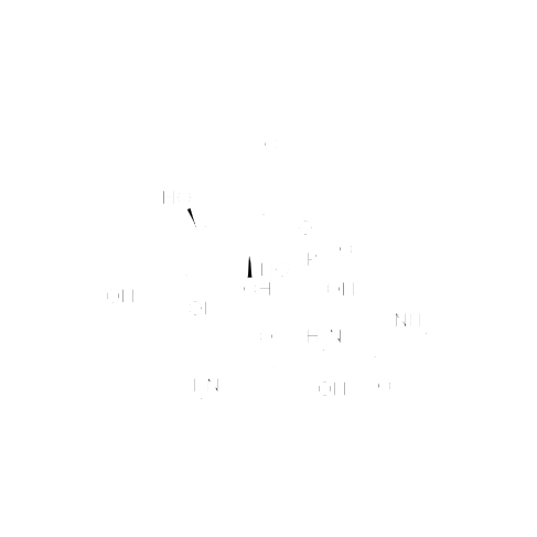 NC(N)=O.NCC(=O)O.O=C[C@H](OP(=O)(O)O)[C@@H](O)[C@H](O)[C@H](O)CO